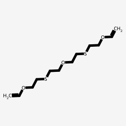 C=COCCSCCOCCSCCOC=C